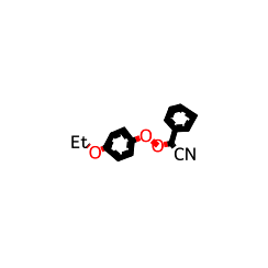 CCOc1ccc(OOC(C#N)c2ccccc2)cc1